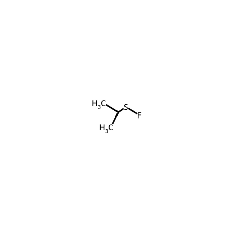 CC(C)SF